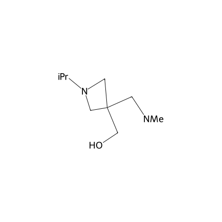 CNCC1(CO)CN(C(C)C)C1